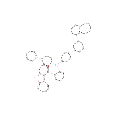 c1ccc(-c2ccc(N(c3ccc(-c4cccc(-c5cccc6ccccc56)c4)cc3)c3ccccc3-c3cccc4oc5ccccc5c34)cc2)cc1